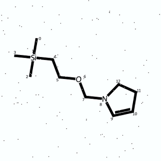 C[Si](C)(C)CCOCN1C=CCC1